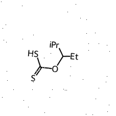 CCC(OC(=S)S)C(C)C